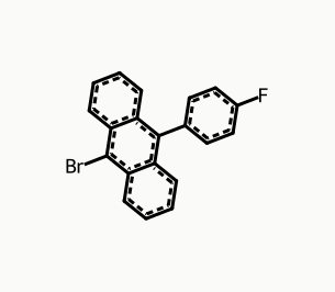 Fc1ccc(-c2c3ccccc3c(Br)c3ccccc23)cc1